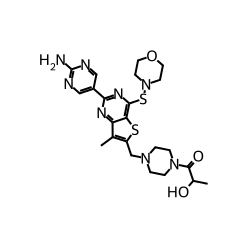 Cc1c(CN2CCN(C(=O)C(C)O)CC2)sc2c(SN3CCOCC3)nc(-c3cnc(N)nc3)nc12